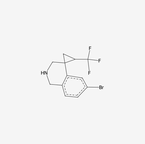 FC(F)(F)C1CC12CNCc1ccc(Br)cc12